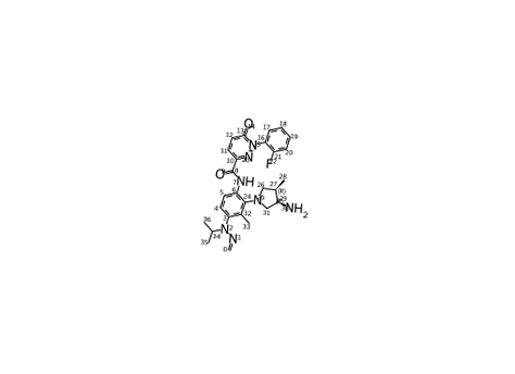 C=NN(c1ccc(NC(=O)c2ccc(=O)n(-c3ccccc3F)n2)c(N2C[C@@H](C)[C@@H](N)C2)c1C)C(C)C